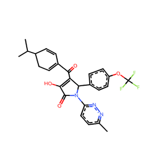 Cc1ccc(N2C(=O)C(O)=C(C(=O)C3=CCC(C(C)C)C=C3)C2c2ccc(OC(F)(F)F)cc2)nn1